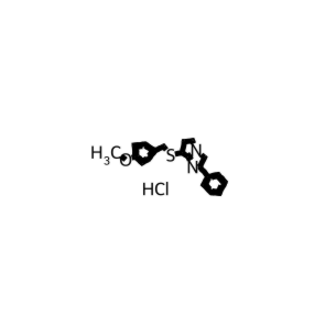 COc1ccc(CSC2CCN3CC(c4ccccc4)N=C23)cc1.Cl